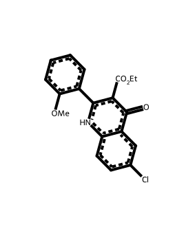 CCOC(=O)c1c(-c2ccccc2OC)[nH]c2ccc(Cl)cc2c1=O